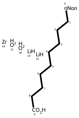 CCCCCCCCCCCCCCCCCC(=O)O.O.O.[LiH].[LiH].[Zr]